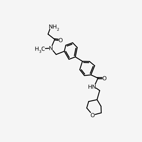 CN(Cc1cccc(-c2ccc(C(=O)NCC3CCOCC3)cc2)c1)C(=O)CN